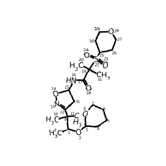 C[C@H](OC1CCCCO1)C(C)(C)C1=NOC(NC(=O)C(C)(C)S(=O)(=O)C2CCOCC2)C1